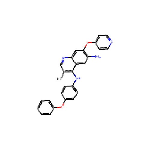 N#Cc1cnc2cc(Oc3ccncc3)c(N)cc2c1Nc1ccc(Oc2ccccc2)cc1